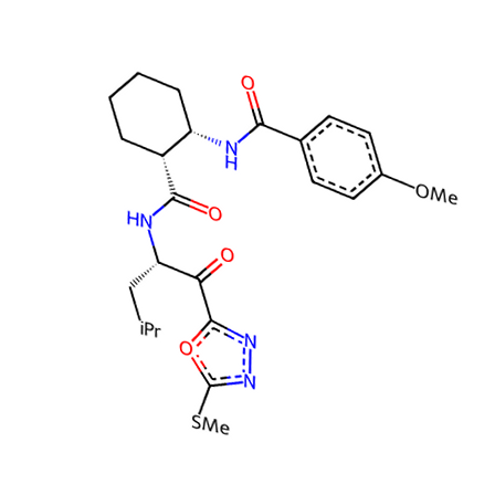 COc1ccc(C(=O)N[C@H]2CCCC[C@H]2C(=O)N[C@@H](CC(C)C)C(=O)c2nnc(SC)o2)cc1